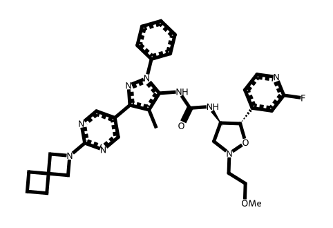 COCCN1C[C@@H](NC(=O)Nc2c(C)c(-c3cnc(N4CC5(CCC5)C4)nc3)nn2-c2ccccc2)[C@H](c2ccnc(F)c2)O1